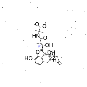 COC(=O)C(C)(C)NC(=O)/C(C)=C(\O)[C@@H]1Oc2c(O)ccc3c2[C@@]12CCN(CC1CC1)[C@H](C3)[C@@]2(C)O